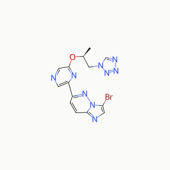 C[C@@H](Cn1cnnn1)Oc1cncc(-c2ccc3ncc(Br)n3n2)n1